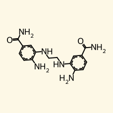 NC(=O)c1ccc(N)c(NCCNc2cc(C(N)=O)ccc2N)c1